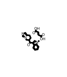 Cn1cc(C(=O)C2CCc3cncn3C2)c2ccccc21.O=C(O)/C=C/C(=O)O